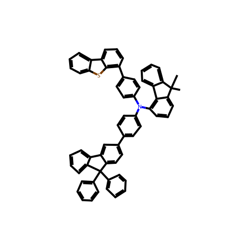 CC1(C)c2ccccc2-c2c(N(c3ccc(-c4ccc5c(c4)-c4ccccc4C5(c4ccccc4)c4ccccc4)cc3)c3ccc(-c4cccc5c4sc4ccccc45)cc3)cccc21